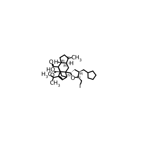 CC(C)C1=CC2CC3(C=O)[C@@H]4CC[C@@H](C)[C@H]4CC2([C@@H]2C[C@@H](CC4CCCC4)[C@@H](CI)O2)[C@]13C(=O)O